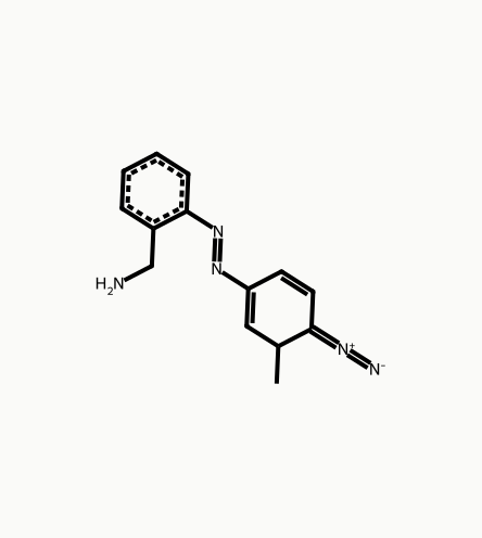 CC1C=C(N=Nc2ccccc2CN)C=CC1=[N+]=[N-]